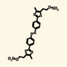 Cc1nc(-c2ccc(SSc3ccc(-c4nc(C)c(CCO[N+](=O)[O-])s4)cc3)cc2)sc1CCO[N+](=O)[O-]